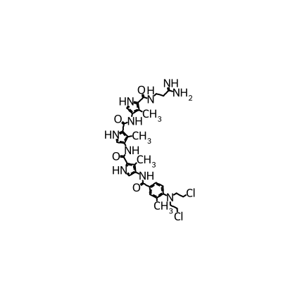 Cc1cc(C(=O)Nc2c[nH]c(C(=O)Nc3c[nH]c(C(=O)Nc4c[nH]c(C(=O)NCCC(=N)N)c4C)c3C)c2C)ccc1N(CCCl)CCCl